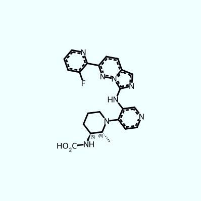 C[C@@H]1[C@@H](NC(=O)O)CCCN1c1ccncc1Nc1ncc2ccc(-c3ncccc3F)nn12